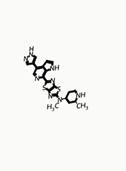 C[C@@H]1C[C@@H](N(C)c2nc3sc(-c4ncc(-c5cn[nH]c5)c5cc[nH]c45)nc3s2)CCN1